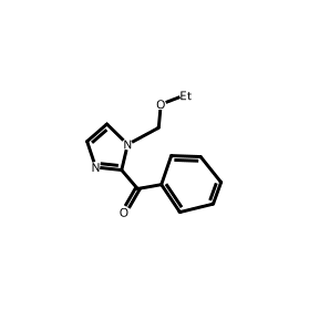 CCOCn1ccnc1C(=O)c1ccccc1